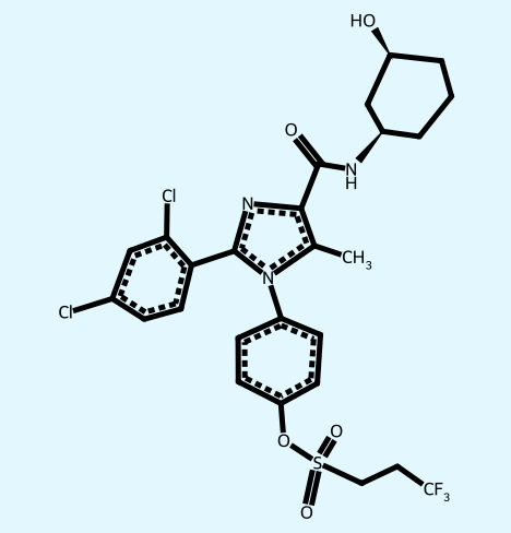 Cc1c(C(=O)N[C@@H]2CCC[C@H](O)C2)nc(-c2ccc(Cl)cc2Cl)n1-c1ccc(OS(=O)(=O)CCC(F)(F)F)cc1